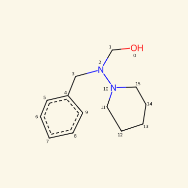 OCN(Cc1ccccc1)N1CCCCC1